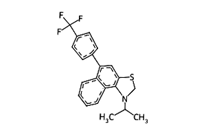 CC(C)N1CSc2cc(-c3ccc(C(F)(F)F)cc3)c3ccccc3c21